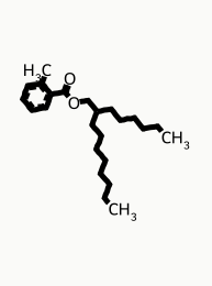 CCCCCCCCC(CCCCCC)COC(=O)c1ccccc1C